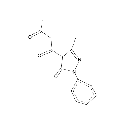 CC(=O)CC(=O)C1C(=O)N(c2ccccc2)N=C1C